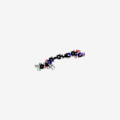 CC1(C)[C@H](Oc2ccc(C#N)c(Cl)c2)C(C)(C)[C@H]1N1Cc2nc(C#CC3CCC(CCC4CC5(CCN(c6ccc7c(c6)C(=O)N(C6CCC(=O)NC6=O)C7=O)CC5)C4)CC3)ccc2C1=O